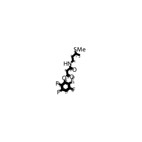 CSC(C)CCNC(=O)CC(=O)Oc1c(F)c(F)cc(F)c1F